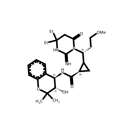 CCC1(CC)CC(=O)N([C@H](CCOC)C2C[C@H]2C(=O)N[C@@H]2c3ccccc3OC(C)(C)[C@H]2O)C(=N)N1